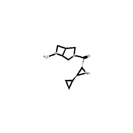 CN1CC2CN(C(=O)[C@@H]3N[C@H]3C3CC3)CC21